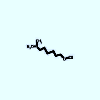 CN(C)CCCCCCOC#N